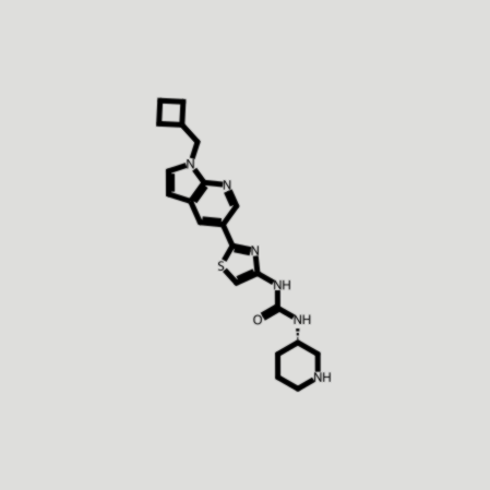 O=C(Nc1csc(-c2cnc3c(ccn3CC3CCC3)c2)n1)N[C@H]1CCCNC1